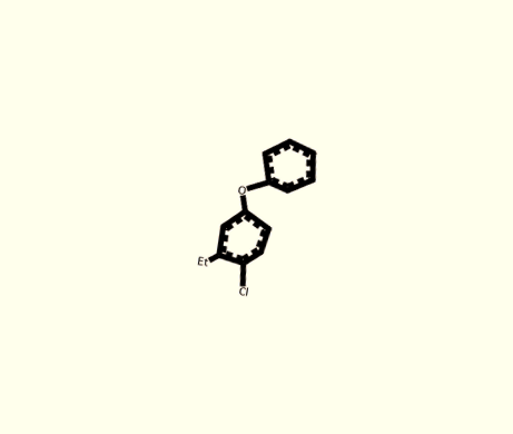 CCc1cc(Oc2cc[c]cc2)ccc1Cl